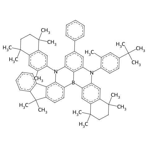 Cc1cc(C(C)(C)C)ccc1N1c2cc3c(cc2B2c4ccc5c(c4N(c4cc6c(cc4C)C(C)(C)CCC6(C)C)c4cc(-c6ccccc6)cc1c42)-c1ccccc1C5(C)C)C(C)(C)CCC3(C)C